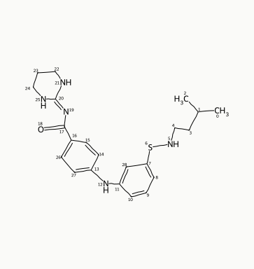 CC(C)CCNSc1cccc(Nc2ccc(C(=O)N=C3NCCCN3)cc2)c1